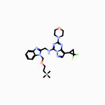 C[Si](C)(C)CCOCn1c(CNc2nc(N3CCOCC3)nc3c(C4CC4(F)F)cnn23)nc2ccccc21